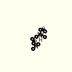 c1ccc(C2=NC(c3cccc4oc5ccccc5c34)=NC(c3ccc(-c4cccc5c4oc4c5ccc5c(-c6ccccc6)nc6ccccc6c54)cc3)N2)cc1